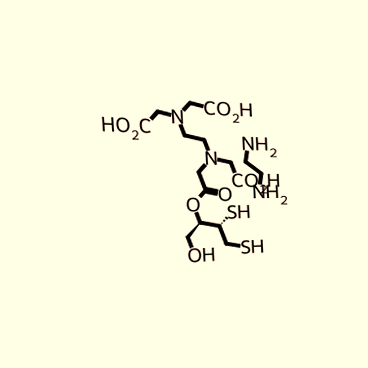 NCCN.O=C(O)CN(CCN(CC(=O)O)CC(=O)O[C@H](CO)[C@H](S)CS)CC(=O)O